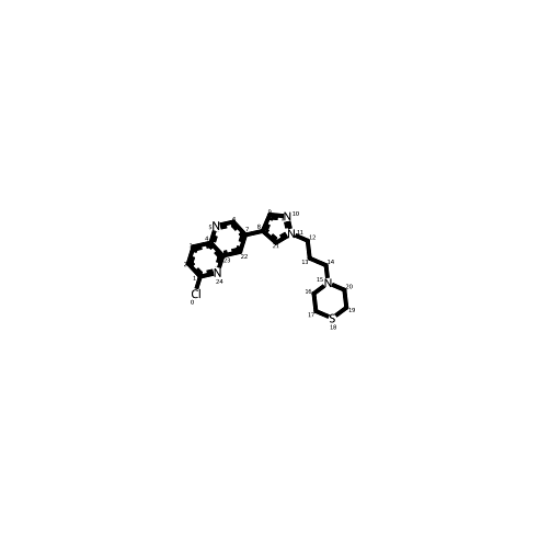 Clc1ccc2ncc(-c3cnn(CCCN4CCSCC4)c3)cc2n1